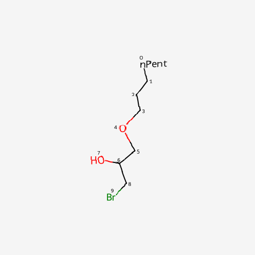 CCCCCCCCOCC(O)CBr